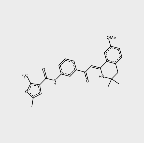 COc1ccc2c(c1)C(=CC(=O)c1cccc(NC(=O)c3cc(C)oc3C(F)(F)F)c1)NC(C)(C)C2